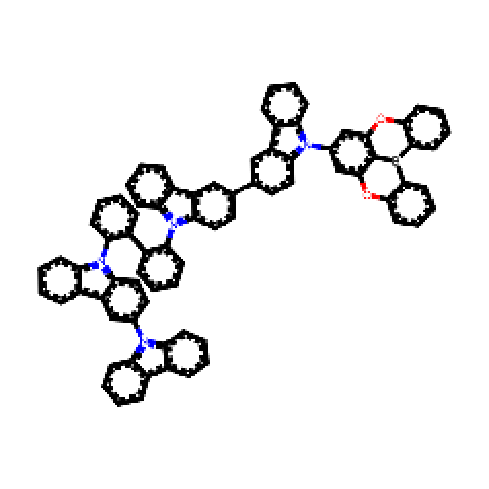 c1ccc2c(c1)Oc1cc(-n3c4ccccc4c4cc(-c5ccc6c(c5)c5ccccc5n6-c5ccccc5-c5ccccc5-n5c6ccccc6c6cc(-n7c8ccccc8c8ccccc87)ccc65)ccc43)cc3c1B2c1ccccc1O3